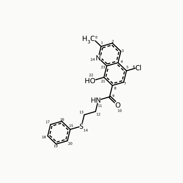 Cc1ccc2c(Cl)cc(C(=O)NCCSc3ccccc3)c(O)c2n1